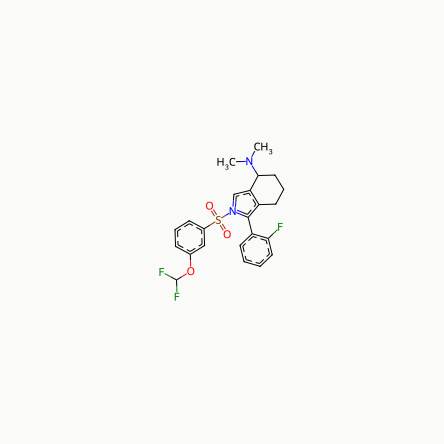 CN(C)C1CCCc2c1cn(S(=O)(=O)c1cccc(OC(F)F)c1)c2-c1ccccc1F